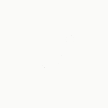 Cc1c(OCc2ccccc2)ccc(C=O)c1-c1ccc2c(c1)CCCO2